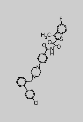 Cc1c(S(=O)(=O)NC(=O)c2ccc(N3CCN(Cc4ccccc4-c4ccc(Cl)cc4)CC3)cc2)sc2ccc(F)cc12